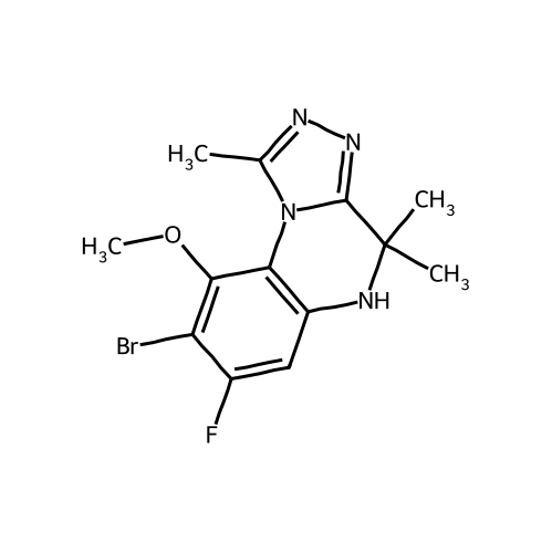 COc1c(Br)c(F)cc2c1-n1c(C)nnc1C(C)(C)N2